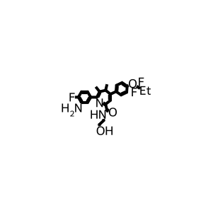 CCC(F)(F)Oc1ccc(C2=CC(C(=O)NCCO)=NC(c3ccc(F)c(N)c3)=C(C)C2C)cc1